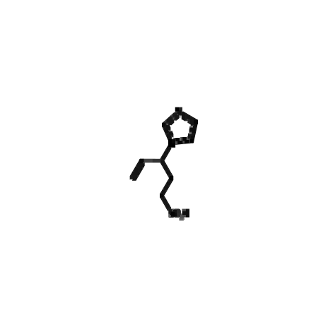 C=CC(CCS(=O)(=O)O)n1ccnc1